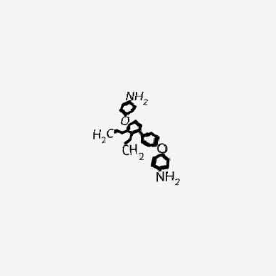 C=CCc1c(Oc2ccc(N)cc2)ccc(-c2ccc(Oc3ccc(N)cc3)cc2)c1CC=C